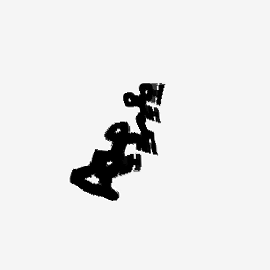 Cc1cccc2cc(C(=O)NC(C)CNC(=O)O)[nH]c12